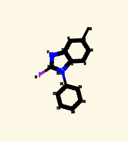 Cc1ccc2c(c1)nc(I)n2-c1ccccc1